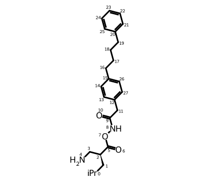 CC(C)C[C@@H](CN)C(=O)ONC(=O)Cc1ccc(CCCCc2ccccc2)cc1